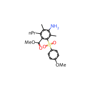 CCCc1c(C)c(N)c(C)c(S(=O)(=O)c2ccc(OC)cc2)c1C(=O)OC